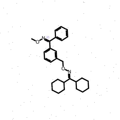 CO/N=C(/c1ccccc1)c1cccc(CON=C(C2CCCCC2)C2CCCCC2)c1